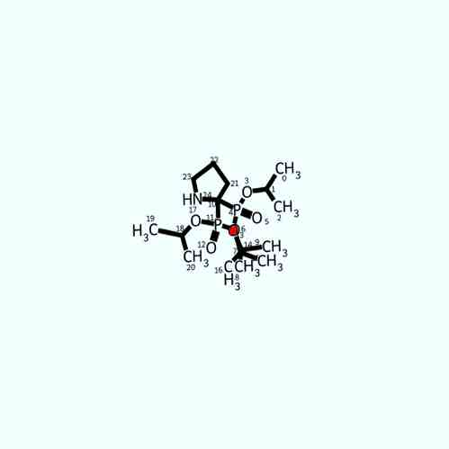 CC(C)OP(=O)(OC(C)C)C1(P(=O)(OC(C)C)OC(C)C)CCCN1